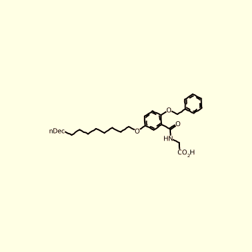 CCCCCCCCCCCCCCCCCCOc1ccc(OCc2ccccc2)c(C(=O)NCC(=O)O)c1